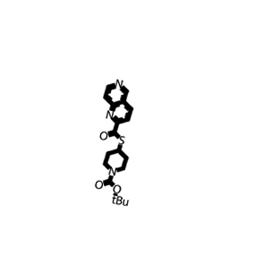 CC(C)(C)OC(=O)N1CCC(SC(=O)c2ccc3cnccc3n2)CC1